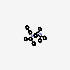 c1ccc(-c2ccc(N(c3cc(-c4ccccc4)cc(-c4ccccc4)c3)c3ccc4c(c3)cc(-c3ccccc3)n3nc(-c5ccccc5)c(-c5ccccc5)c43)cc2)cc1